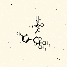 CC1(C)O[C@@H](COS(N)(=O)=O)[C@H](c2ccc(Cl)s2)O1